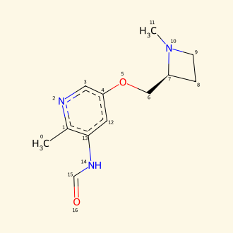 Cc1ncc(OC[C@@H]2CCN2C)cc1NC=O